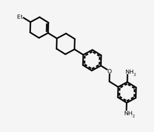 CCC1CC=C(C2CCC(c3ccc(OCc4cc(N)ccc4N)cc3)CC2)CC1